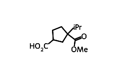 COC(=O)C1(C(C)C)CCC(C(=O)O)C1